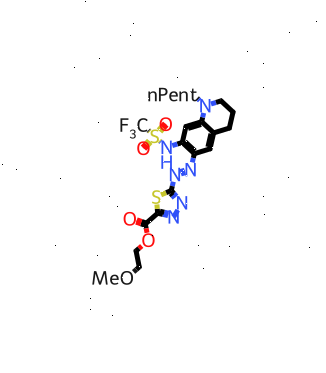 CCCCCN1CCCc2cc(N=Nc3nnc(C(=O)OCCOC)s3)c(NS(=O)(=O)C(F)(F)F)cc21